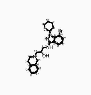 O[C@@H](CNc1nn(C2CCCCO2)c2c(Br)cccc12)CN1CCc2ccccc2C1